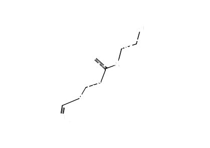 C=CCCCC(=O)NCCC